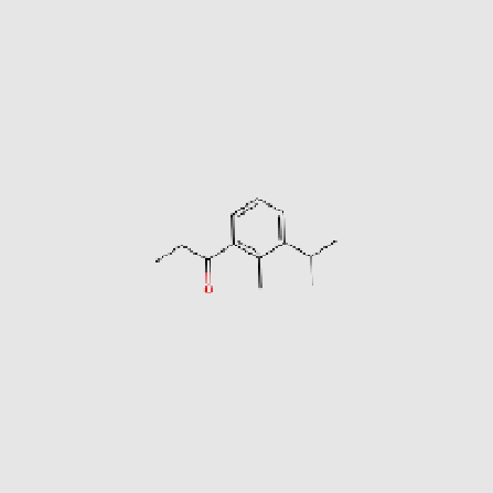 CCC(=O)c1cccc(C(C)C)c1C